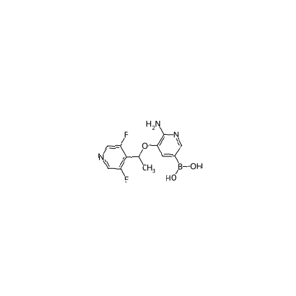 CC(Oc1cc(B(O)O)cnc1N)c1c(F)cncc1F